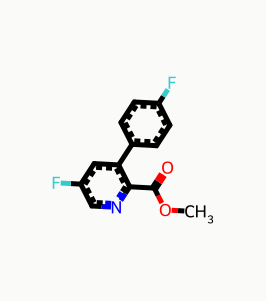 COC(=O)c1ncc(F)cc1-c1ccc(F)cc1